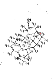 [2H]O[C@H]1C([2H])([2H])C(=O)OC(C([2H])([2H])C([2H])([2H])[C@H]2[C@@]([2H])(C([2H])([2H])[2H])C([2H])=C([2H])C3=C([2H])[C@]([2H])(C([2H])([2H])[2H])C([2H])([2H])C(OC(=O)[C@@]([2H])(C([2H])([2H])[2H])C([2H])([2H])C([2H])([2H])[2H])[C@@]32[2H])C1([2H])[2H]